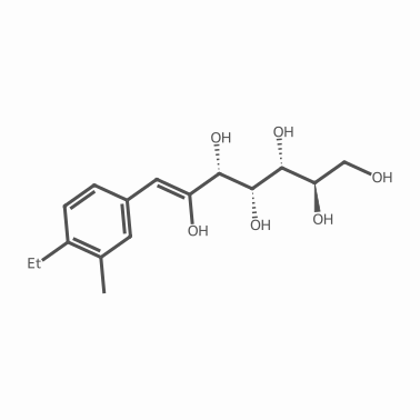 CCc1ccc(C=C(O)[C@H](O)[C@@H](O)[C@H](O)[C@H](O)CO)cc1C